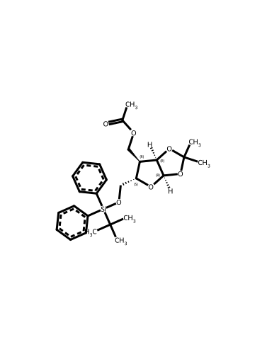 CC(=O)OC[C@H]1[C@H]2OC(C)(C)O[C@H]2O[C@@H]1CO[Si](c1ccccc1)(c1ccccc1)C(C)(C)C